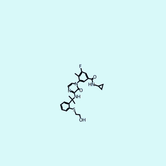 Cc1c(F)cc(C(=O)NC2CC2)cc1-n1ccnc(NC(C)(C)c2ccccc2SCCO)c1=O